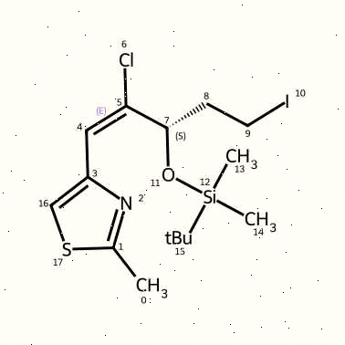 Cc1nc(/C=C(/Cl)[C@H](CCI)O[Si](C)(C)C(C)(C)C)cs1